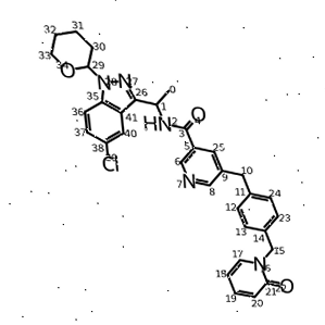 CC(NC(=O)c1cncc(Cc2ccc(Cn3ccccc3=O)cc2)c1)c1nn(C2CCCCO2)c2ccc(Cl)cc12